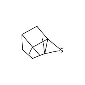 CC12CCC3CC1(S2)C3(C)C